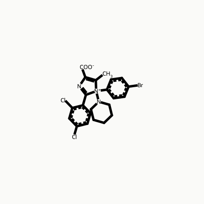 CC1=C(C(=O)[O-])N=C(c2ccc(Cl)cc2Cl)[N+]1(c1ccc(Br)cc1)N1CCCCC1